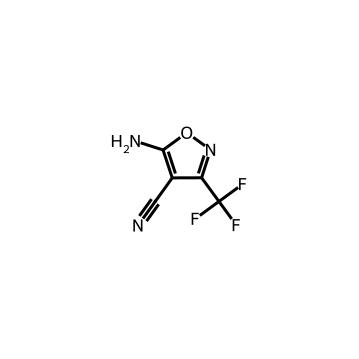 N#Cc1c(C(F)(F)F)noc1N